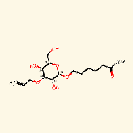 C=CCO[C@H]1[C@@H](O)[C@@H](CO)O[C@@H](OCCCCCC(=O)OC)[C@@H]1O